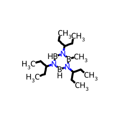 CCC(CC)N1BN(C(CC)CC)B(C)N(C(CC)CC)B1